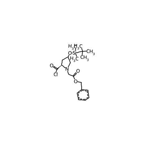 CC(C)(C)[Si](C)(C)OC1C[C@H](C(=O)Cl)N(CC(=O)OCc2ccccc2)C1